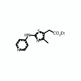 CCOC(=O)Cc1sc(Nc2ccncc2)nc1C